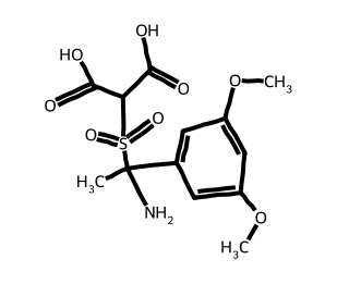 COc1cc(OC)cc(C(C)(N)S(=O)(=O)C(C(=O)O)C(=O)O)c1